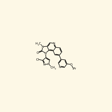 CC(C)Oc1cncc(-c2ccc3ncc4c(c3c2)n(-c2cn(C)nc2Cl)c(=O)n4C)c1